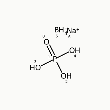 O=P(O)(O)O.[BH4-].[Na+]